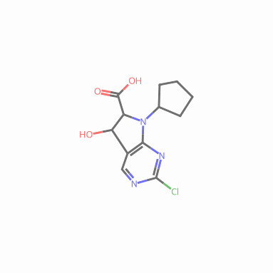 O=C(O)C1C(O)c2cnc(Cl)nc2N1C1CCCC1